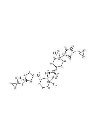 CC1(CN2CC[C@H](O[C@H]3CCCC(F)(F)[C@@H]3NC(=O)N3CCC(C)(c4noc(C5CC5)n4)CC3)C2)CC1